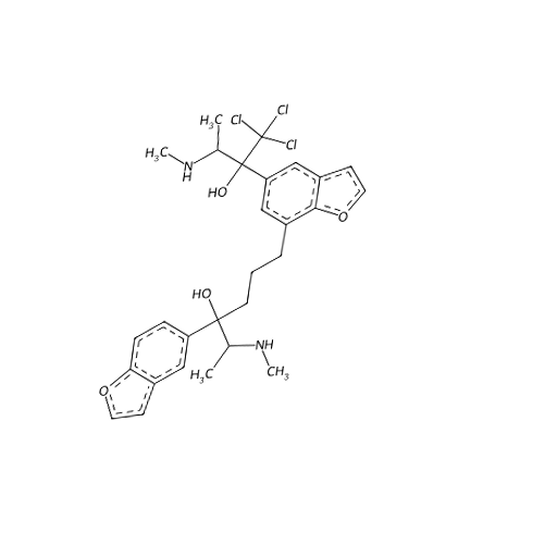 CNC(C)C(O)(CCCc1cc(C(O)(C(C)NC)C(Cl)(Cl)Cl)cc2ccoc12)c1ccc2occc2c1